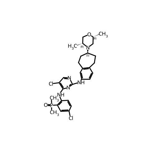 C[C@@H]1CN([C@H]2CCc3ccc(Nc4ncc(Cl)c(Nc5ccc(Cl)cc5P(C)(C)=O)n4)cc3CC2)[C@H](C)CO1